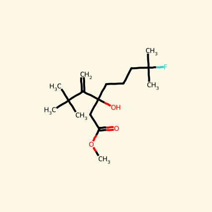 C=C(C(C)(C)C)C(O)(CCCC(C)(C)F)CC(=O)OC